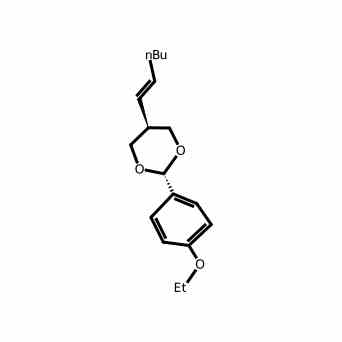 CCCCC=C[C@H]1CO[C@H](c2ccc(OCC)cc2)OC1